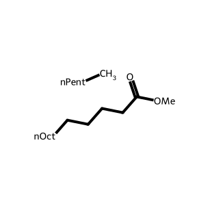 CCCCCC.CCCCCCCCCCCCC(=O)OC